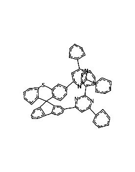 c1ccc(-c2cc(-c3ccc4c(c3)Sc3ccccc3C43c4ccccc4-c4ccc(-c5cc(-c6ccccc6)nc(-c6ccccc6)n5)cc43)nc(-c3ccccc3)n2)cc1